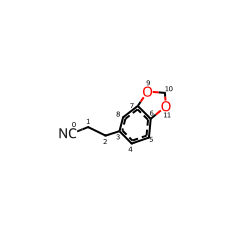 N#CCCc1ccc2c(c1)OCO2